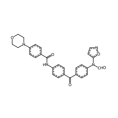 O=CN(c1ccc(C(=O)c2ccc(NC(=O)c3ccc(N4CCOCC4)cc3)cc2)cc1)c1ccno1